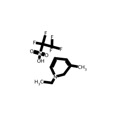 CCN1C=CC=C(C)C1.O=S(=O)(O)C(F)(F)C(F)(F)F